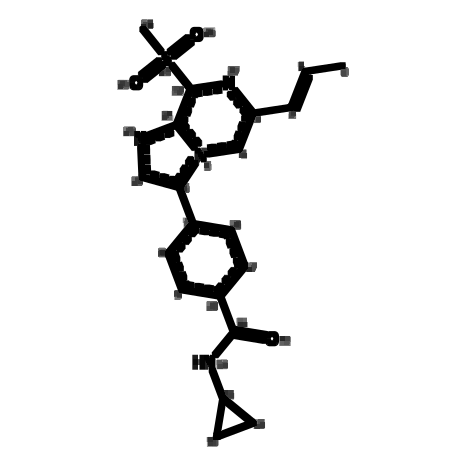 C/C=C/c1cn2c(-c3ccc(C(=O)NC4CC4)cc3)cnc2c(S(C)(=O)=O)n1